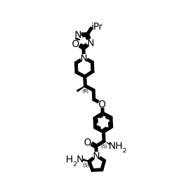 CC(C)c1noc(N2CCC([C@H](C)CCOc3ccc([C@H](N)C(=O)N4CCC[C@H]4N)cc3)CC2)n1